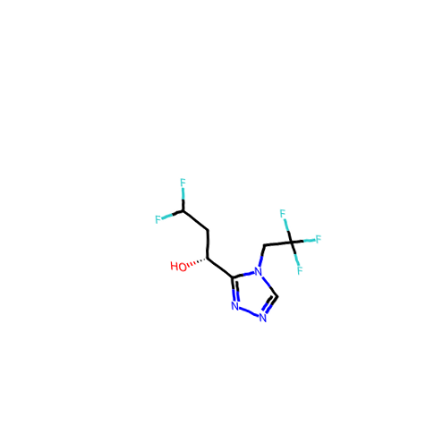 O[C@H](CC(F)F)c1nncn1CC(F)(F)F